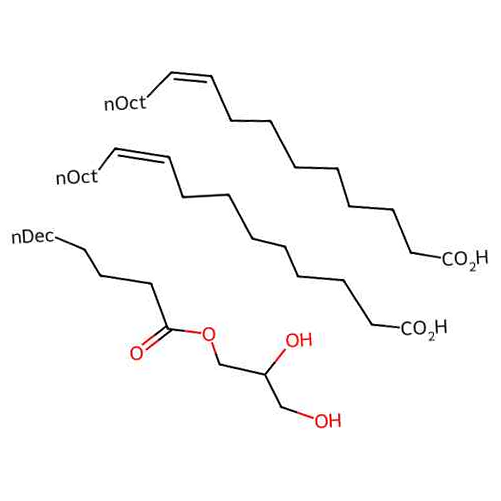 CCCCCCCC/C=C\CCCCCCCC(=O)O.CCCCCCCC/C=C\CCCCCCCC(=O)O.CCCCCCCCCCCCCC(=O)OCC(O)CO